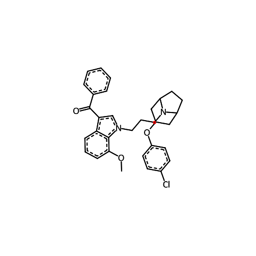 COc1cccc2c(C(=O)c3ccccc3)cn(CCCN3C4CCC3CC(Oc3ccc(Cl)cc3)C4)c12